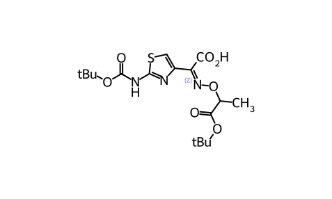 CC(O/N=C(\C(=O)O)c1csc(NC(=O)OC(C)(C)C)n1)C(=O)OC(C)(C)C